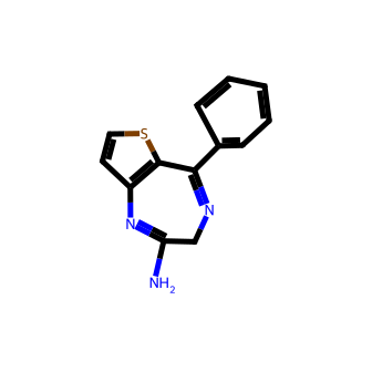 NC1=Nc2ccsc2C(c2ccccc2)=NC1